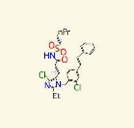 CCC/C=C/S(=O)(=O)NC(=O)/C=C/c1c(Cl)nc(CC)n1Cc1ccc(C=Cc2ccccc2)cc1Cl